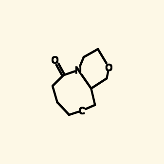 O=C1CCCCCC2COCCN12